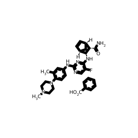 Cc1cc(Nc2ncc(F)c(N[C@H]3[C@@H](C(N)=O)[C@@H]4C=C[C@H]3C4)n2)ccc1N1CCN(C)CC1.O=C(O)c1ccccc1